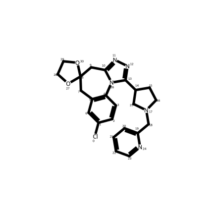 Clc1ccc2c(c1)CC1(Cc3nnc(C4CCN(Cc5ccccn5)C4)n3-2)OCCO1